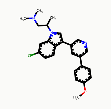 COc1ccc(-c2cncc(-c3cn(C(C)CN(C)C)c4cc(Cl)ccc34)c2)cc1